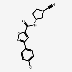 N#CN1CC[C@@H](NC(=O)c2cc(-c3ccc(Cl)cc3)no2)C1